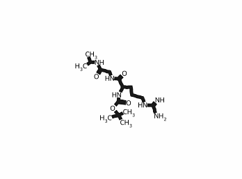 CC(C)NC(=O)CNC(=O)C(CCCNC(=N)N)NC(=O)OC(C)(C)C